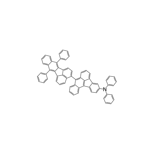 c1ccc(-c2c3c(c(-c4ccccc4)c4ccccc24)-c2ccc(-c4c5ccccc5c5c6c(cccc46)-c4cc(N(c6ccccc6)c6ccccc6)ccc4-5)c4cccc-3c24)cc1